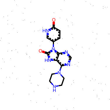 O=c1ccc(-n2c(=O)[nH]c3c(N4CCNCC4)ncnc32)c[nH]1